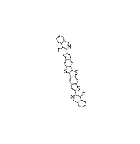 Fc1c(-c2cc3cc4c(cc3s2)sc2c3cc5cc(-c6ncc7ccccc7c6F)sc5cc3sc42)ncc2ccccc12